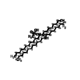 CCCCCCCCCCCCNCCCCCCCC.CCCCCCCCCCCCNCCCCCCCC.C[As](=O)(O)O